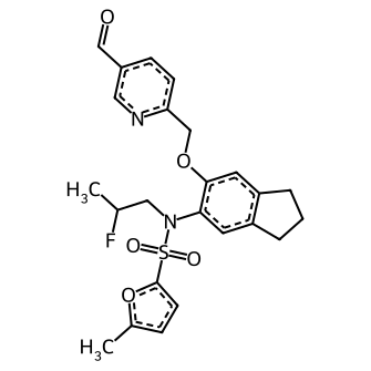 Cc1ccc(S(=O)(=O)N(CC(C)F)c2cc3c(cc2OCc2ccc(C=O)cn2)CCC3)o1